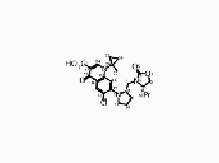 CC(C)[C@@H]1COC(=O)N1C[C@H]1CCCN1c1cc2c(cc1Cl)c(=O)c(C(=O)O)cn2C1(C)CC1